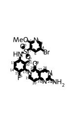 COc1ncc(Br)cc1S(=O)(=O)Nc1ccc(F)c(-n2ccc3nc(N)ncc3c2=O)c1F